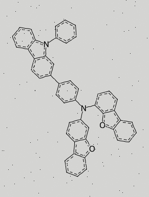 c1ccc(-n2c3ccccc3c3ccc(-c4ccc(N(c5ccc6c(c5)oc5ccccc56)c5cccc6c5oc5ccccc56)cc4)cc32)cc1